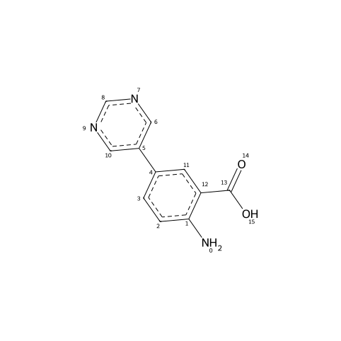 Nc1ccc(-c2cncnc2)cc1C(=O)O